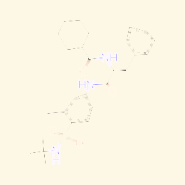 Cc1cc(NC(=O)[C@H](Cc2ccccc2)NC(=O)C2CCCCC2)ccc1S(=O)(=O)NC(C)(C)C